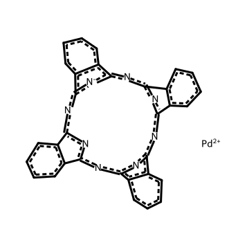 [Pd+2].c1ccc2c(c1)-c1nc-2nc2[n-]c(nc3nc(nc4[n-]c(n1)c1ccccc41)-c1ccccc1-3)c1ccccc21